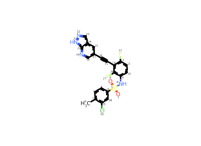 Cc1ccc(S(=O)(=O)Nc2ccc(F)c(C#Cc3cnc4[nH]ncc4c3)c2F)cc1Cl